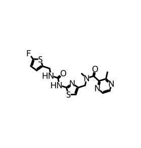 Cc1nccnc1C(=O)N(C)Cc1csc(NC(=O)NCc2ccc(F)s2)n1